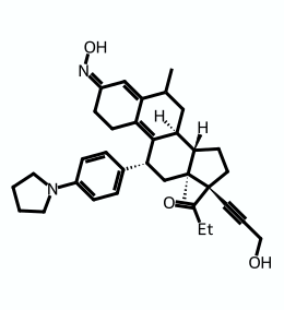 CCC(=O)[C@@]1(C#CCO)CC[C@H]2[C@@H]3CC(C)C4=CC(=NO)CCC4=C3[C@@H](c3ccc(N4CCCC4)cc3)C[C@@]21C